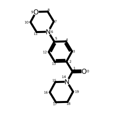 O=C(c1ccc(N2CCOCC2)cc1)N1CC[CH]CC1